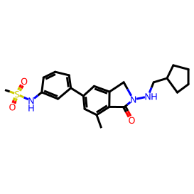 Cc1cc(-c2cccc(NS(C)(=O)=O)c2)cc2c1C(=O)N(NCC1CCCC1)C2